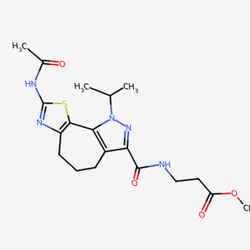 COC(=O)CCNC(=O)c1nn(C(C)C)c2c1CCCc1nc(NC(C)=O)sc1-2